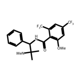 CNC(C)(C)C(NC(=O)c1c(OC)cc(C(F)(F)F)cc1C(F)(F)F)c1ccccc1